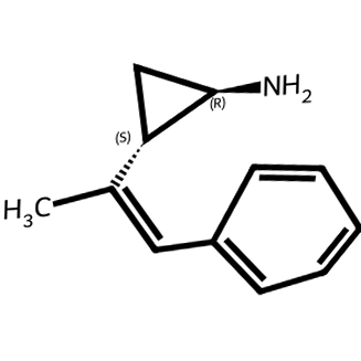 CC(=Cc1ccccc1)[C@@H]1C[C@H]1N